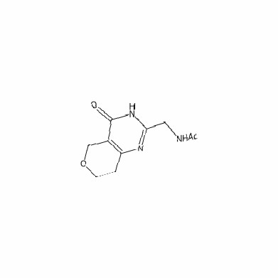 CC(=O)NCc1nc2c(c(=O)[nH]1)COCC2